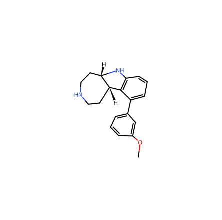 COc1cccc(-c2cccc3c2[C@@H]2CCNCC[C@@H]2N3)c1